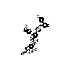 COCC[C@H]1CSc2cc(S(=O)(=O)NC(=O)c3ccc(N4CCN(CC5=C(c6ccc(Cl)cc6)CC(C)(C)CC5)CC4)cc3Oc3cnc4[nH]ccc4c3)cc([N+](=O)[O-])c2N1